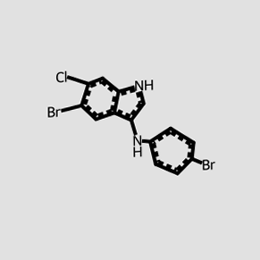 Clc1cc2[nH]cc(Nc3ccc(Br)cc3)c2cc1Br